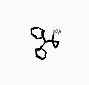 O=C(O)C1(C(c2ccccc2)c2ccccc2)CC1